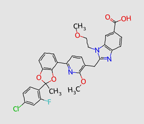 COCCn1c(Cc2ccc(-c3cccc4c3OC(C)(c3ccc(Cl)cc3F)O4)nc2OC)nc2ccc(C(=O)O)cc21